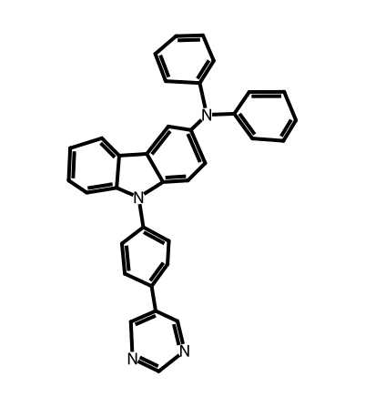 c1ccc(N(c2ccccc2)c2ccc3c(c2)c2ccccc2n3-c2ccc(-c3cncnc3)cc2)cc1